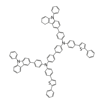 C1=Cc2c(c3cc(-c4ccc(N(c5ccc(-c6ccc(N(c7ccc(-c8ccc9c(c8)c8ccccc8n9-c8ccccc8)cc7)c7ccc(-c8ccc(-c9ccccc9)s8)cc7)cc6)cc5)c5ccc(-c6ccc(-c7ccccc7)s6)cc5)cc4)ccc3n2-c2ccccc2)CC1